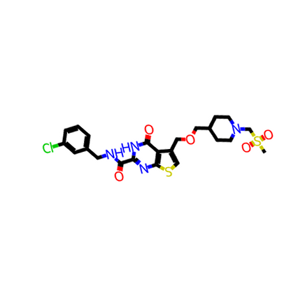 CS(=O)(=O)CN1CCC(COCc2csc3nc(C(=O)NCc4cccc(Cl)c4)[nH]c(=O)c23)CC1